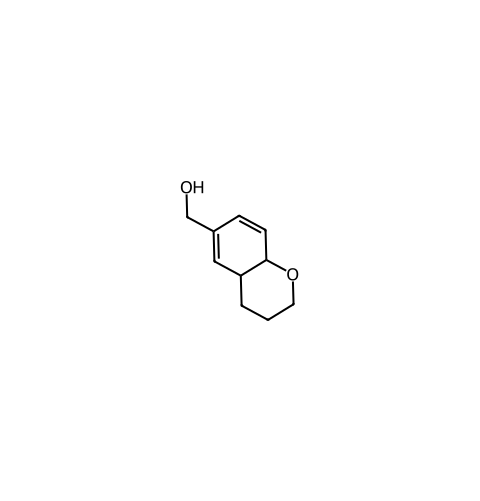 OCC1=CC2CCCOC2C=C1